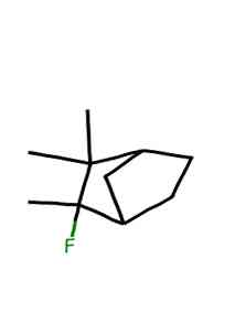 CC1(C)C2CCC(C2)C1(C)F